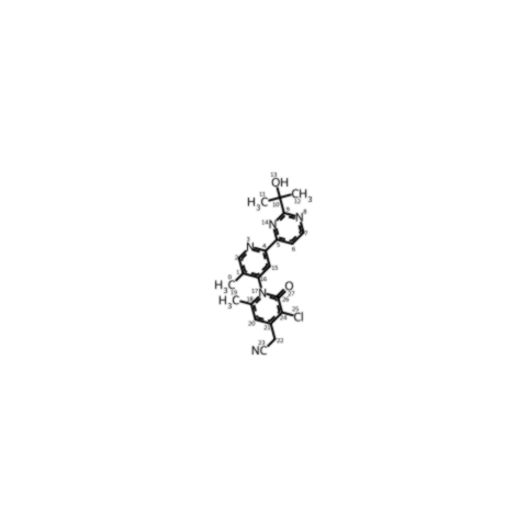 Cc1cnc(-c2ccnc(C(C)(C)O)n2)cc1-n1c(C)cc(CC#N)c(Cl)c1=O